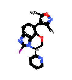 Cc1noc(C)c1-c1ccc2nc(I)n3c2c1OC[C@@H]3c1ccccn1